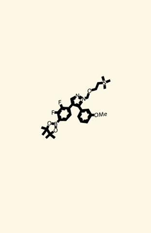 COc1cccc(-c2c(-c3ccc(B4OC(C)(C)C(C)(C)O4)c(F)c3F)cnn2COCCS(C)(C)C)c1